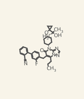 CCCc1c(Cc2ccc(-c3ccccc3C#N)cc2F)c(=O)n([C@H]2CC[C@H](OC3(C(C)(C)O)CC3)CC2)c2ncnn12